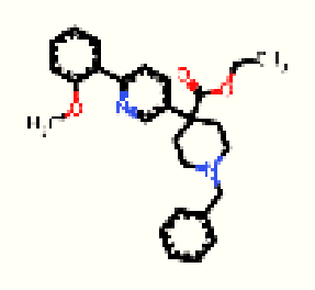 CCOC(=O)C1(c2ccc(-c3ccccc3OC)nc2)CCN(Cc2ccccc2)CC1